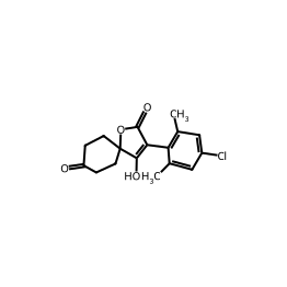 Cc1cc(Cl)cc(C)c1C1=C(O)C2(CCC(=O)CC2)OC1=O